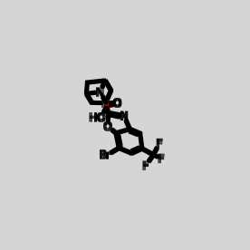 O=C(O)N1C2CC1CN(c1nc3cc(C(F)(F)F)cc(Br)c3o1)C2